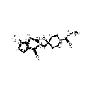 Cn1ncc2c(=O)n(CC3(O)CCN(C(=O)OC(C)(C)C)CC3)cnc21